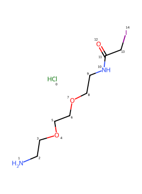 Cl.NCCOCCOCCNC(=O)CI